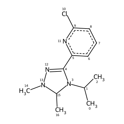 CC(C)N1C(c2cccc(Cl)n2)=NN(C)C1C